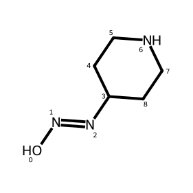 O/N=N/C1CCNCC1